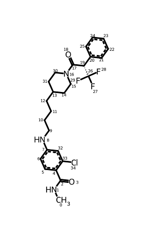 CNC(=O)c1ccc(NCCCCC2CCN(C(=O)[C@H](c3ccccc3)C(F)(F)F)CC2)cc1Cl